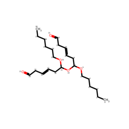 CCCCCCOC(CC=CCC=O)OC(CC=CCC=O)OCCCCCC